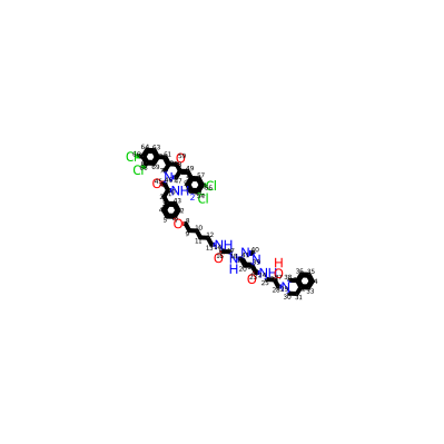 NC(Cc1ccc(OCCCCCCNC(=O)CNc2cc(C(=O)NCC(O)CN3CCc4ccccc4C3)ncn2)cc1)C(=O)N1CC(=Cc2ccc(Cl)c(Cl)c2)C(=O)C(=Cc2ccc(Cl)c(Cl)c2)C1